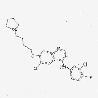 CCc1cc2c(Nc3ccc(F)c(Cl)c3)ncnc2cc1OCCCCN1CCCC1